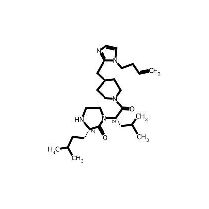 C=CCCn1ccnc1CC1CCN(C(=O)[C@H](CC(C)C)N2CCN[C@@H](CCC(C)C)C2=O)CC1